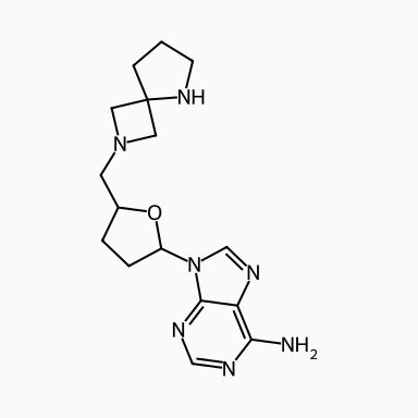 Nc1ncnc2c1ncn2C1CCC(CN2CC3(CCCN3)C2)O1